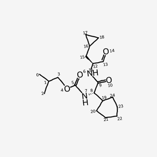 CC(C)COC(=O)N[C@H](C(=O)N[C@H](C=O)CC1CC1)C1CCCCC1